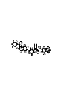 Cc1ccccc1C(=O)N1CCc2cc(-c3cccc(NC(=O)Cc4ccc5c(c4)OCO5)n3)ccc21